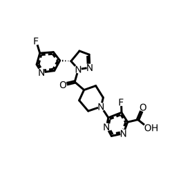 O=C(O)c1ncnc(N2CCC(C(=O)N3N=CC[C@H]3c3cncc(F)c3)CC2)c1F